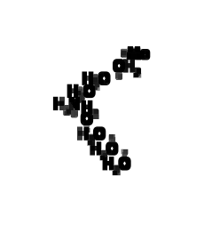 N.O.O.O.O.O.O.O.[Mo]